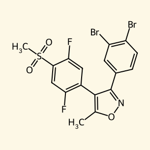 Cc1onc(-c2ccc(Br)c(Br)c2)c1-c1cc(F)c(S(C)(=O)=O)cc1F